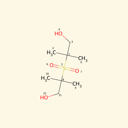 CC(C)(CO)S(=O)(=O)C(C)(C)CO